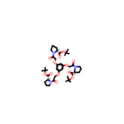 CC(C)(C)OC(=O)[C@H]1CCCN1C(=O)COc1cc(OCC(=O)N2CCC[C@@H]2C(=O)OC(C)(C)C)cc(OCC(=O)N2CCC[C@@H]2C(=O)OC(C)(C)C)c1